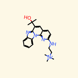 CC(C)(O)c1cc2ccc(NCC[N+](C)(C)C)nc2n2c1nc1ccccc12